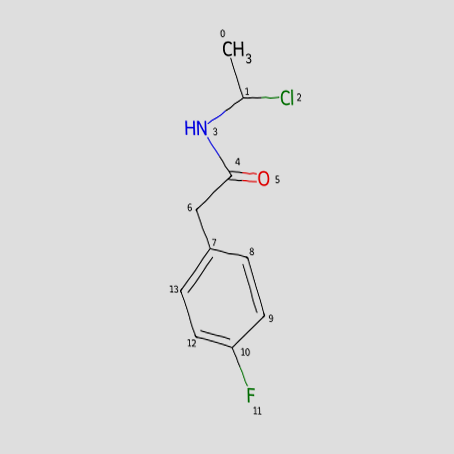 CC(Cl)NC(=O)Cc1ccc(F)cc1